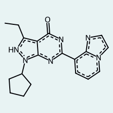 CCc1[nH]n(C2CCCC2)c2nc(-c3cccn4ccnc34)nc(=O)c1-2